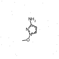 COn1ccc(N)n1